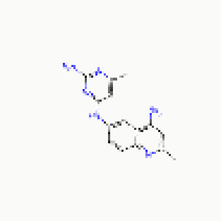 Cc1cc(Nc2ccc3nc(C)cc(N)c3c2)nc(N)n1